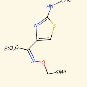 CCOC(=O)/C(=N/OCSC)c1csc(NC=O)n1